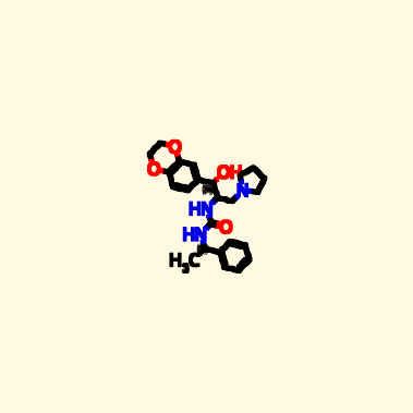 C[C@H](NC(=O)NC(CN1CCCC1)[C@H](O)c1ccc2c(c1)OCCO2)c1ccccc1